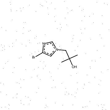 CC(C)(O)Cn1cnc(Br)c1